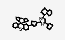 c1ccc(-c2cc(-c3cccc4ccccc34)nc(-c3ccc(-c4ccc5c(c4)C4(c6ccccc6S5)c5ccccc5-c5ccccc54)cc3)n2)cc1